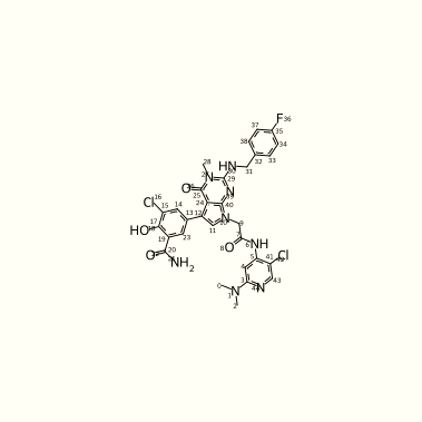 CN(C)c1cc(NC(=O)Cn2cc(-c3cc(Cl)c(O)c(C(N)=O)c3)c3c(=O)n(C)c(NCc4ccc(F)cc4)nc32)c(Cl)cn1